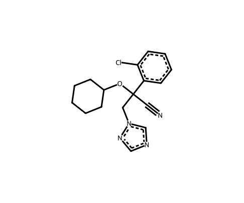 N#CC(Cn1cncn1)(OC1CCCCC1)c1ccccc1Cl